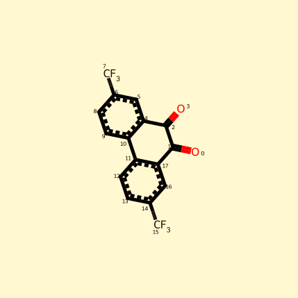 O=C1C(=O)c2cc(C(F)(F)F)ccc2-c2ccc(C(F)(F)F)cc21